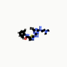 CCc1nc(NCCN(C)C)nc(Nc2ncc(C(=O)Nc3c(C)cccc3C)s2)n1